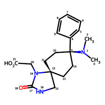 CN(C)[C@]1(c2ccccc2)CC[C@@]2(CC1)CNC(=O)N2CC(=O)O